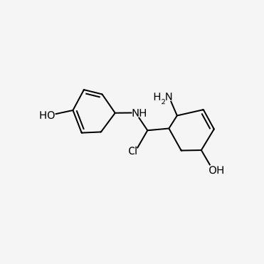 NC1C=CC(O)CC1C(Cl)NC1C=CC(O)=CC1